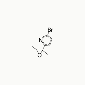 CC1OC1(C)c1ccc(Br)cn1